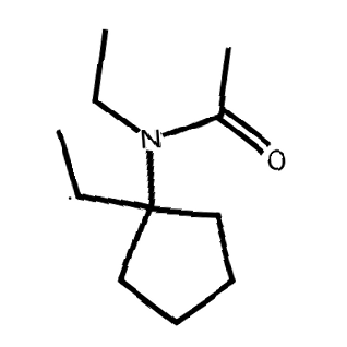 C[CH]C1(N(CC)C(C)=O)CCCC1